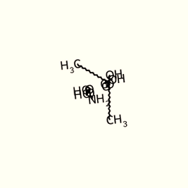 CCCCCCCCCCCCCCCC(=O)OC(C(=O)CCCCCCCCCCCCCCC)C(O)CO.NCCOP(=O)(O)O